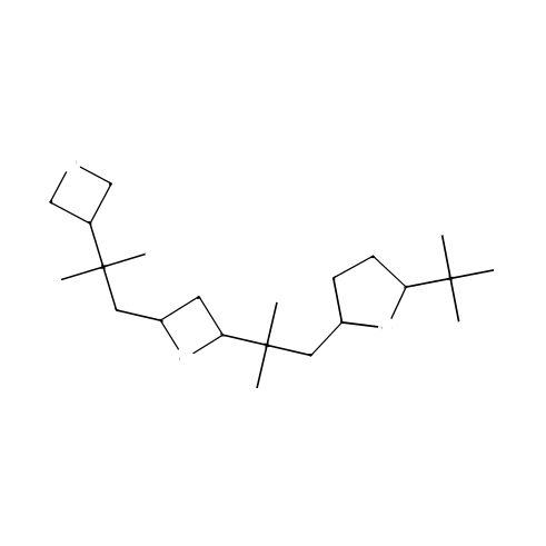 CC(C)(C)C1CCC(CC(C)(C)C2CC(CC(C)(C)C3COC3)O2)O1